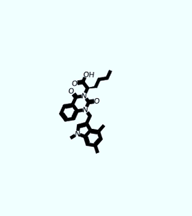 CCCC[C@H](C(=O)O)n1c(=O)c2ccccc2n(Cc2cn(C)c3cc(C)cc(C)c23)c1=O